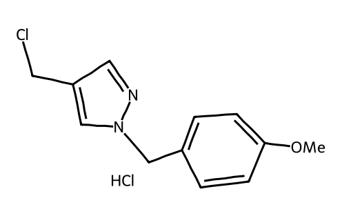 COc1ccc(Cn2cc(CCl)cn2)cc1.Cl